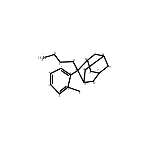 Cc1ccccc1C1(CCCN)C2CC3CC(C2)CC1C3